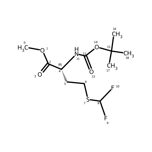 COC(=O)[C@@H](CCSC(F)F)NC(=O)OC(C)(C)C